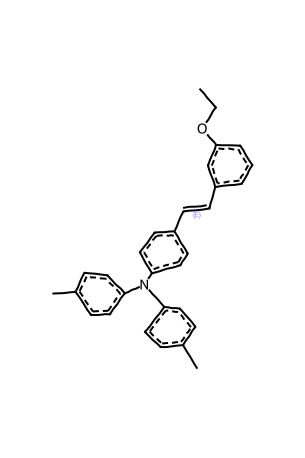 CCOc1cccc(/C=C/c2ccc(N(c3ccc(C)cc3)c3ccc(C)cc3)cc2)c1